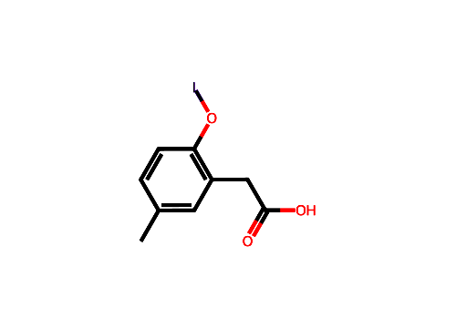 Cc1ccc(OI)c(CC(=O)O)c1